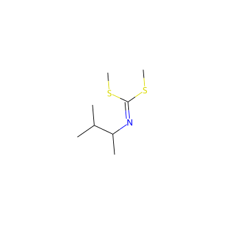 CSC(=NC(C)C(C)C)SC